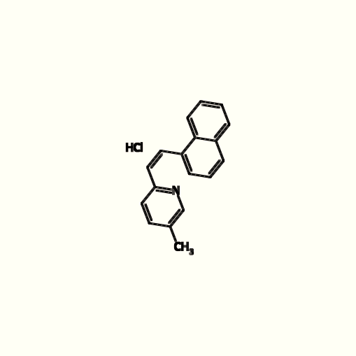 Cc1ccc(/C=C\c2cccc3ccccc23)nc1.Cl